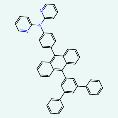 c1ccc(-c2cc(-c3ccccc3)cc(-c3c4ccccc4c(-c4ccc(N(c5ccccn5)c5ccccn5)cc4)c4ccccc34)c2)cc1